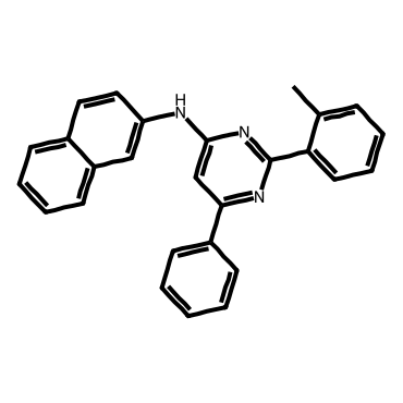 Cc1ccccc1-c1nc(Nc2ccc3ccccc3c2)cc(-c2ccccc2)n1